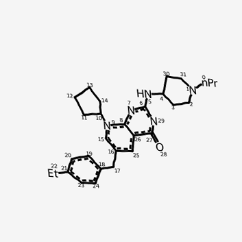 CCCN1CCC(Nc2nc3n(C4CCCC4)cc(Cc4ccc(CC)cc4)cc-3c(=O)n2)CC1